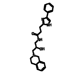 O=C(CCc1nc(-c2ccccc2)c[nH]1)NCC(O)CN1CCc2ccccc2C1